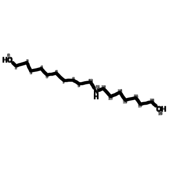 OCCCCCCCCCCNCCCCCCCO